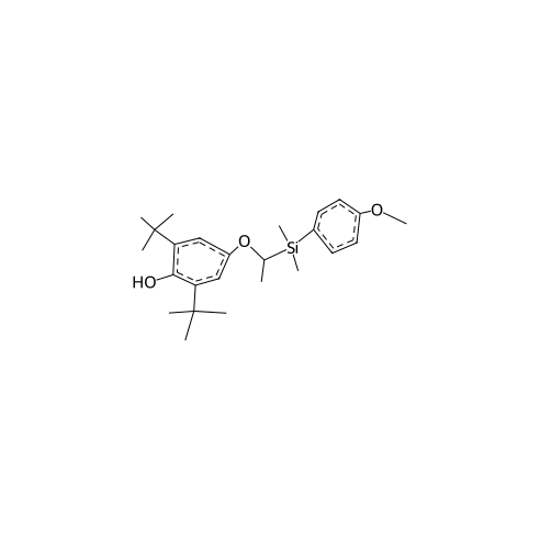 COc1ccc([Si](C)(C)C(C)Oc2cc(C(C)(C)C)c(O)c(C(C)(C)C)c2)cc1